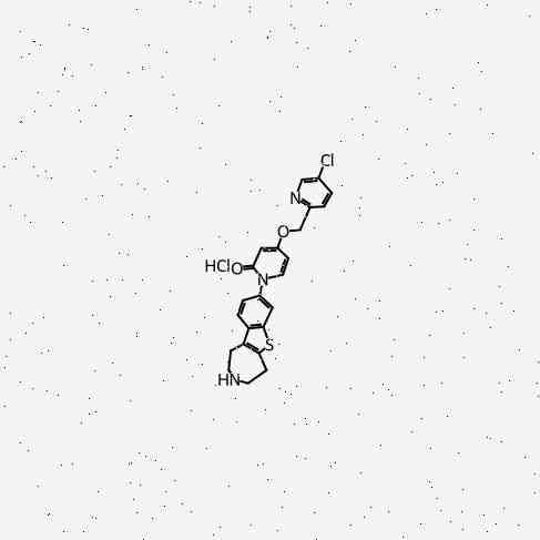 Cl.O=c1cc(OCc2ccc(Cl)cn2)ccn1-c1ccc2c3c(sc2c1)CCNCC3